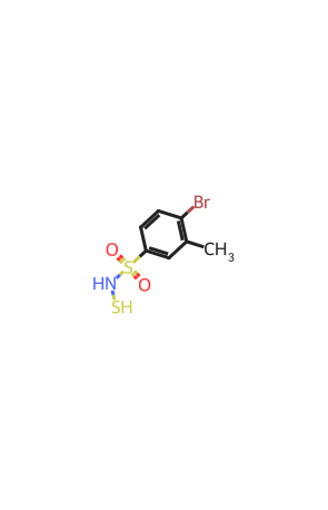 Cc1cc(S(=O)(=O)NS)ccc1Br